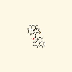 O=C(C1C=Cc2cccc3cccc1c23)C1c2cccc3cccc(c23)C2SC21